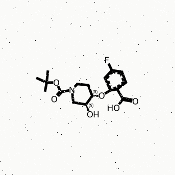 CC(C)(C)OC(=O)N1CC[C@@H](Oc2cc(F)ccc2C(=O)O)[C@@H](O)C1